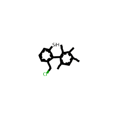 Cc1cc(C)c(-c2c([SiH3])cccc2CCl)c(C)c1C